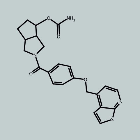 NC(=O)OC1CCC2CN(C(=O)c3ccc(OCc4ccnc5sccc45)cc3)CC21